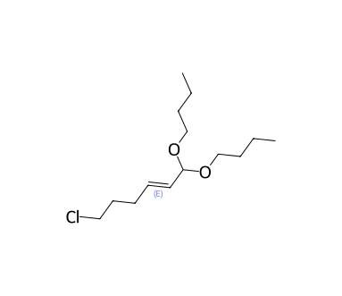 CCCCOC(/C=C/CCCCl)OCCCC